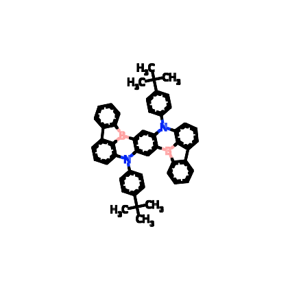 CC(C)(C)c1ccc(N2c3cc4c(cc3B3c5ccccc5-c5cccc2c53)N(c2ccc(C(C)(C)C)cc2)c2cccc3c2B4c2ccccc2-3)cc1